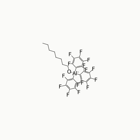 CCCCCCCC[O][Al-]([c]1c(F)c(F)c(F)c(F)c1F)([c]1c(F)c(F)c(F)c(F)c1F)[c]1c(F)c(F)c(F)c(F)c1F